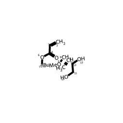 C=C.C=CC(=O)OCCCC.COC.OCCO